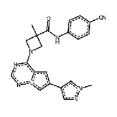 Cn1cc(-c2cc3c(N4CC(C)(C(=O)Nc5ccc(C#N)cc5)C4)ncnn3c2)cn1